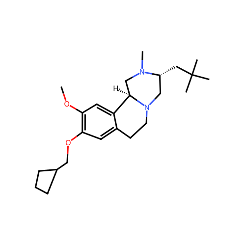 COc1cc2c(cc1OCC1CCC1)CCN1C[C@@H](CC(C)(C)C)N(C)C[C@H]21